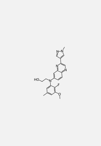 COc1cc(C)cc(N(CCO)c2ccc3ncc(-c4cnn(C)c4)nc3c2)c1F